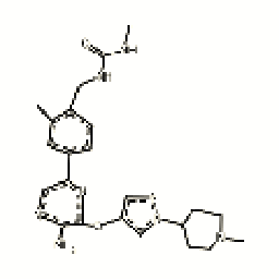 CNC(=O)NCc1ccc(-c2cnc(N)c(Oc3cnn(C4CCN(C)CC4)c3)n2)cc1C